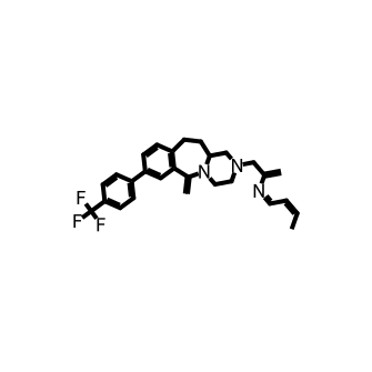 C=C(CN1CCN2C(=C)c3cc(-c4ccc(C(F)(F)F)cc4)ccc3CCC2C1)/N=C\C=C/C